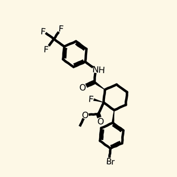 COC(=O)[C@]1(F)[C@@H](C(=O)Nc2ccc(C(F)(F)F)cc2)CCC[C@H]1c1ccc(Br)cc1